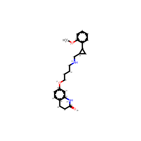 COc1ccccc1C1CC1CNCCCCOc1ccc2c(c1)NC(=O)CC2